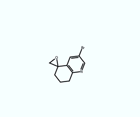 Brc1cnc2c(c1)C1(CCC2)CO1